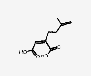 C=C(C)CCC(=CC(=O)O)C(=O)O